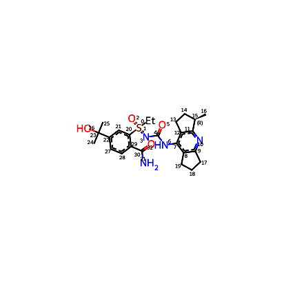 CCS(=O)(=NC(=O)Nc1c2c(nc3c1CC[C@H]3C)CCC2)c1cc(C(C)(C)O)ccc1C(N)=O